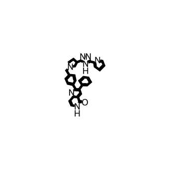 O=c1[nH]ccc2nc(-c3ccc(CN4CCC(c5nnc(-c6ccccn6)[nH]5)C4)cc3)c(-c3ccccc3)cc12